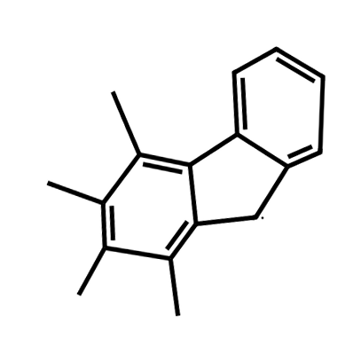 Cc1c(C)c(C)c2c(c1C)[CH]c1ccccc1-2